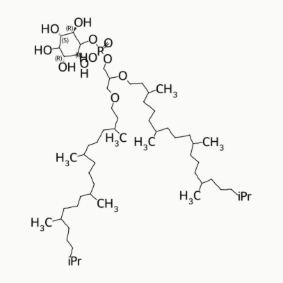 CC(C)CCCC(C)CCCC(C)CCCC(C)CCCC(C)CCOCC(COP(=O)(O)OC1[C@H](O)[C@H](O)C(O)[C@H](O)[C@H]1O)OCCC(C)CCCC(C)CCCC(C)CCCC(C)CCCC(C)C